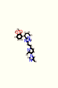 Cc1cn(-c2ccc(/C=C/c3nc4n(n3)CCC[C@H]4c3cccc4c3OCO4)nc2C)cn1